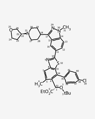 CCOC(=O)[C@@H](OC(C)(C)C)c1c(C)cc2nc(-c3ccc4c(c3)c(C3CCN([C@H]5CCOC5)CC3)nn4C)sc2c1-c1ccc(Cl)cc1